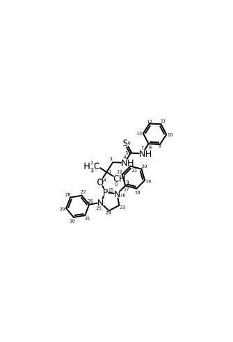 CC(C)(CNC(=S)Nc1ccccc1)OP1N(c2ccccc2)CCN1c1ccccc1